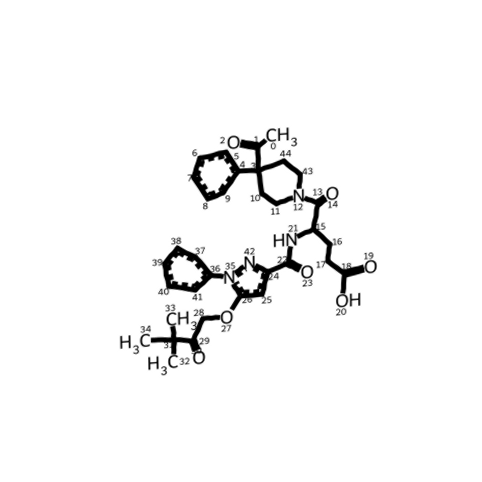 CC(=O)C1(c2ccccc2)CCN(C(=O)C(CCC(=O)O)NC(=O)c2cc(OCC(=O)C(C)(C)C)n(-c3ccccc3)n2)CC1